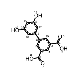 O=C(O)c1cc(C(=O)O)cc(-c2cc(O)cc(O)c2)c1